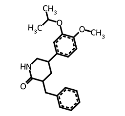 COc1ccc(C2CNC(=O)C(Cc3ccccc3)C2)cc1OC(C)C